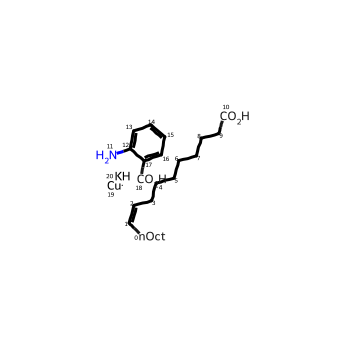 CCCCCCCC/C=C\CCCCCCCC(=O)O.Nc1ccccc1C(=O)O.[Cu].[KH]